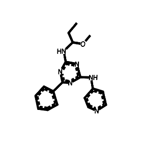 CCC(Nc1nc(Nc2ccncc2)nc(-c2ccccc2)n1)OC